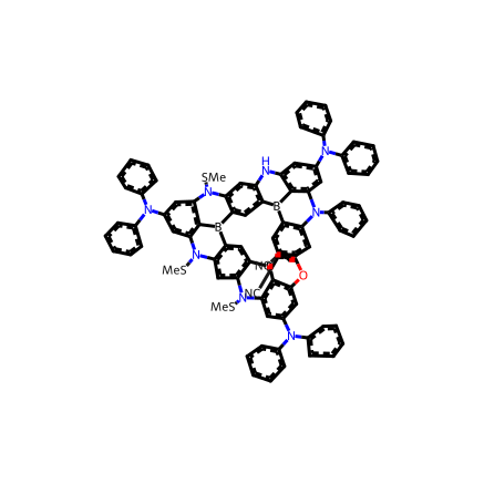 CSN1c2cc3c(cc2B2c4cc(C#N)ccc4Oc4cc(N(c5ccccc5)c5ccccc5)cc1c42)B1c2cc4c(cc2N(SC)c2cc(N(c5ccccc5)c5ccccc5)cc(c21)N3SC)Nc1cc(N(c2ccccc2)c2ccccc2)cc2c1B4c1cc(C#N)ccc1N2c1ccccc1